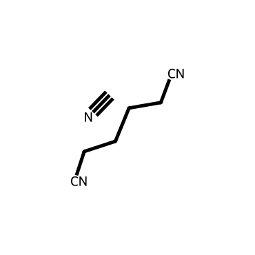 C#N.N#CCCCCC#N